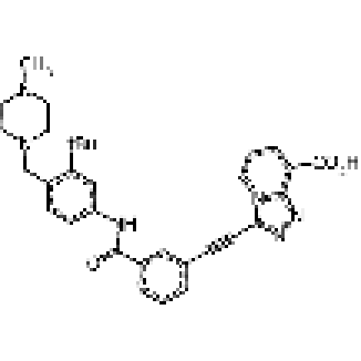 CN1CCN(Cc2ccc(NC(=O)c3cccc(C#Cc4nnc5c(C(=O)O)cccn45)c3)cc2C(C)(C)C)CC1